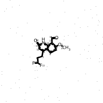 COc1ccc2c(CCC(F)F)cc(=O)[nH]c2c1C=O